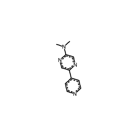 CN(C)c1cnc(-c2ccncc2)cn1